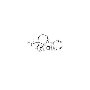 CC1(C)CCCN(c2ccccc2)C1(C)C